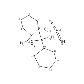 CC1CCCCC1(C)C(C)(C)C1CCCCC1.N=C=S